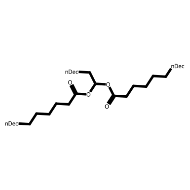 CCCCCCCCCCCCCCCC(=O)OC(CCCCCCCCCCC)OC(=O)CCCCCCCCCCCCCCC